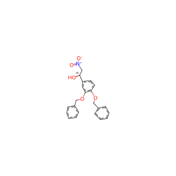 O=[N+]([O-])C[C@H](O)c1ccc(OCc2ccccc2)c(OCc2ccccc2)c1